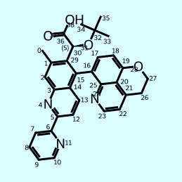 Cc1cc2nc(-c3ccccn3)ccc2c(-c2ccc3c4c(ccnc24)CCO3)c1[C@H](OC(C)(C)C)C(=O)O